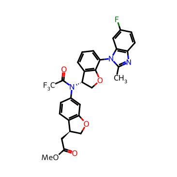 COC(=O)C[C@@H]1COc2cc(N(C(=O)C(F)(F)F)[C@H]3COc4c3cccc4-n3c(C)nc4ccc(F)cc43)ccc21